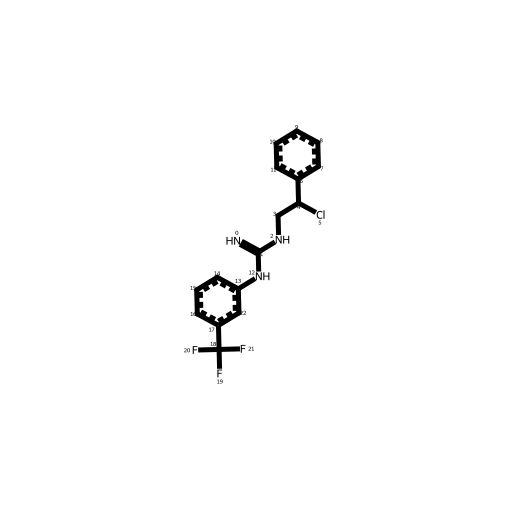 N=C(NCC(Cl)c1ccccc1)Nc1cccc(C(F)(F)F)c1